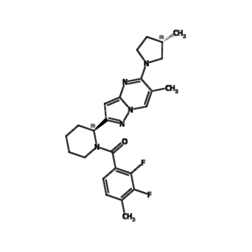 Cc1cn2nc([C@@H]3CCCCN3C(=O)c3ccc(C)c(F)c3F)cc2nc1N1CC[C@H](C)C1